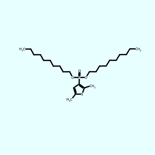 CCCCCCCCCCOP(=O)(OCCCCCCCCCC)c1cc(C)sc1C